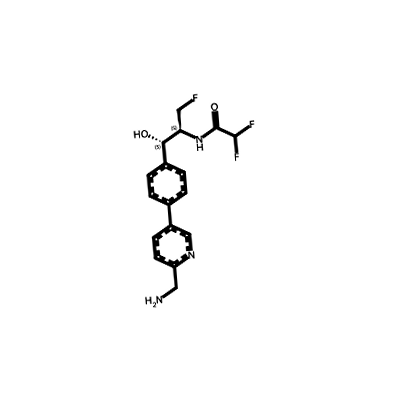 NCc1ccc(-c2ccc([C@H](O)[C@@H](CF)NC(=O)C(F)F)cc2)cn1